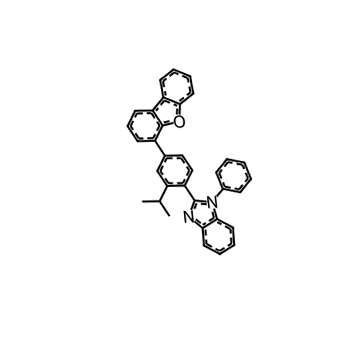 CC(C)c1cc(-c2cccc3c2oc2ccccc23)ccc1-c1nc2ccccc2n1-c1ccccc1